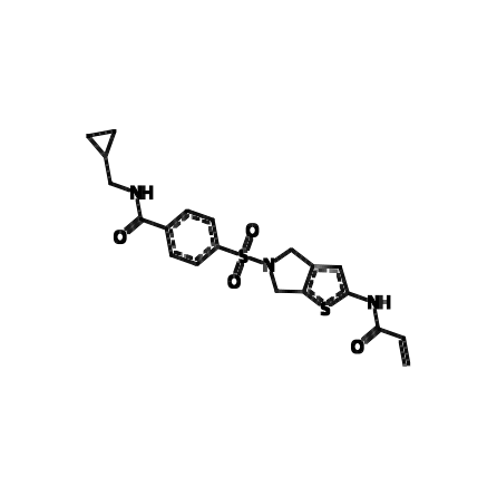 C=CC(=O)Nc1cc2c(s1)CN(S(=O)(=O)c1ccc(C(=O)NCC3CC3)cc1)C2